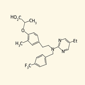 CCc1cnc(N(CCc2ccc(OC(C)C(=O)O)c(C)c2)Cc2ccc(C(F)(F)F)cc2)nc1